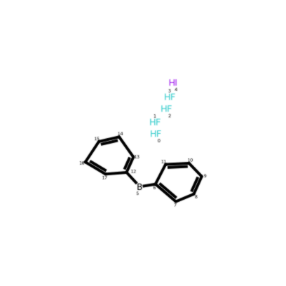 F.F.F.F.I.[B](c1ccccc1)c1ccccc1